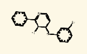 [2H]C1C(c2ccccc2)=NC=CC1[Se]c1cccc(Br)c1